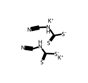 N#CNC(=S)[S-].N#CNC(=S)[S-].[K+].[K+]